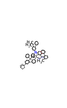 C=c1cccc(-c2ccccc2)/c1=C(/C=C\C)c1cccc(N(c2ccc(C3(c4ccccc4)c4ccccc4-c4cc(C56CCC(CC5)C6)ccc43)cc2)c2ccc3c(c2)-c2ccccc2C3(C)C)c1